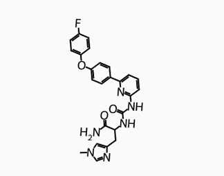 Cn1cnc(CC(NC(=O)Nc2cccc(-c3ccc(Oc4ccc(F)cc4)cc3)n2)C(N)=O)c1